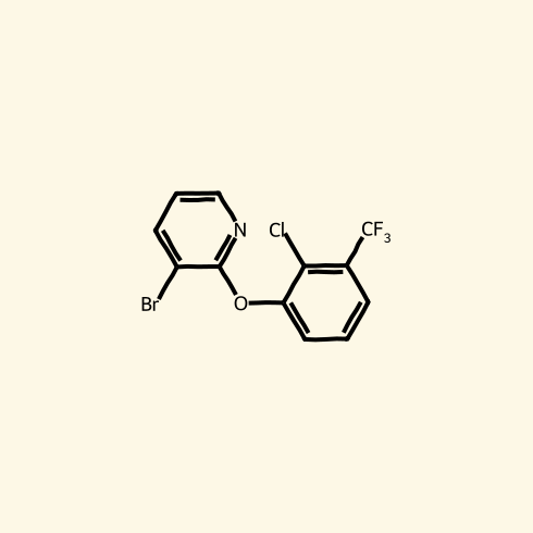 FC(F)(F)c1cccc(Oc2ncccc2Br)c1Cl